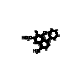 Cc1c(C(=O)O)nc2c(N)ccc(N3CCCCC3)c2c1O